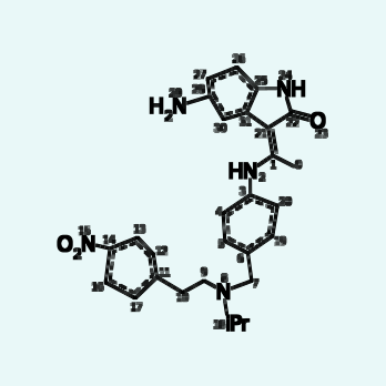 CC(Nc1ccc(CN(CCc2ccc([N+](=O)[O-])cc2)C(C)C)cc1)=C1C(=O)Nc2ccc(N)cc21